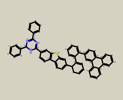 C1=CCC(c2ccc3c(c2)sc2cc(C4=NC(c5ccccc5)=NC(c5ccccc5)N4)ccc23)C(c2ccccc2-c2ccc3c4ccccc4c4ccccc4c3c2)=C1